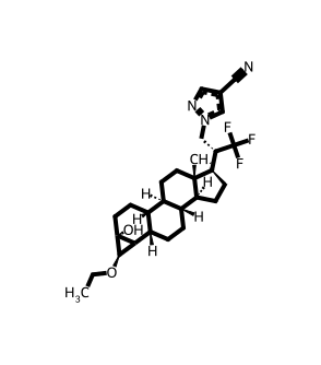 CCO[C@@H]1C2[C@H]3CC[C@@H]4[C@H](CC[C@]5(C)[C@@H]([C@H](Cn6cc(C#N)cn6)C(F)(F)F)CC[C@@H]45)[C@H]3CC[C@@]21O